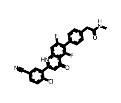 CNC(=O)Cc1ccc(-c2c(F)cc3[nH]c(-c4cc(C#N)ccc4Cl)cc(=O)c3c2F)cc1